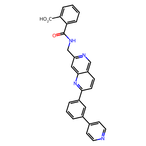 O=C(O)c1ccccc1C(=O)NCc1cc2nc(-c3cccc(-c4ccncc4)c3)ccc2cn1